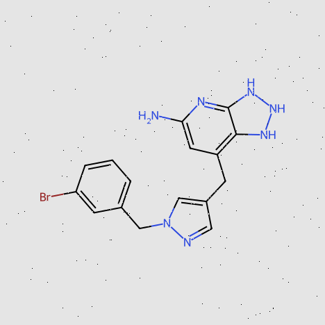 Nc1cc(Cc2cnn(Cc3cccc(Br)c3)c2)c2c(n1)NNN2